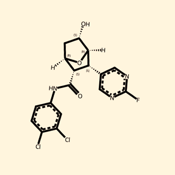 O=C(Nc1ccc(Cl)c(Cl)c1)[C@H]1[C@@H](c2cnc(F)nc2)[C@H]2O[C@@H]1C[C@@H]2O